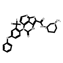 CN1CCC[C@@H](NC(=O)c2sc3nccc4c3c2NC(=O)N4c2ccc(Oc3ccccc3)cc2C(F)(F)F)C1